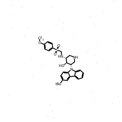 CC(C)(C)c1ccc2c(c1)c1ccccc1n2[C@H]1CNC[C@@H](NCS(=O)(=O)c2ccc(OC(F)(F)F)cc2)[C@@H]1O